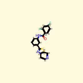 O=C(Nc1cccc(-c2nc3ccncc3s2)c1)c1ccc(F)cc1F